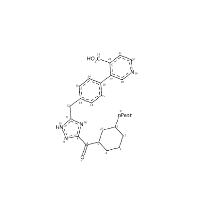 CCCCCC1CCCC(C(=O)c2n[nH]c(Cc3ccc(-c4cnccc4C(=O)O)cc3)n2)C1